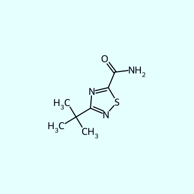 CC(C)(C)c1nsc(C(N)=O)n1